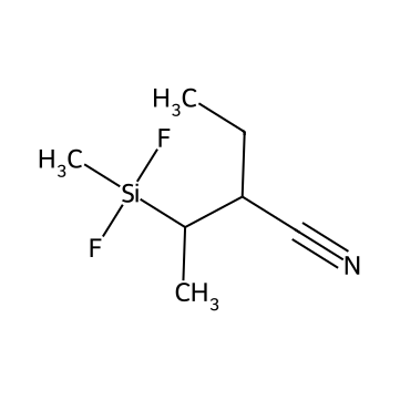 CCC(C#N)C(C)[Si](C)(F)F